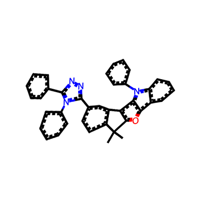 CC1(C)c2ccc(-c3nnc(-c4ccccc4)n3-c3ccccc3)cc2-c2c1oc1c3ccccc3n(-c3ccccc3)c21